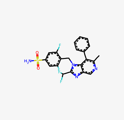 Cc1ncc2nc(C(F)F)n(Cc3c(F)cc(S(N)(=O)=O)cc3F)c2c1-c1ccccc1